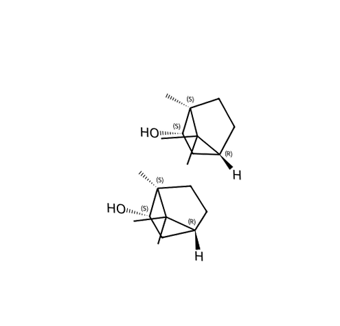 CC1(C)[C@@H]2CC[C@]1(C)[C@@H](O)C2.CC1(C)[C@@H]2CC[C@]1(C)[C@@H](O)C2